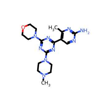 Cc1nc(N)ncc1-c1nc(N2CCOCC2)nc(N2CCN(C)CC2)n1